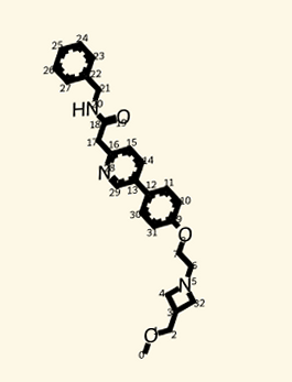 COCC1CN(CCOc2ccc(-c3ccc(CC(=O)NCc4ccccc4)nc3)cc2)C1